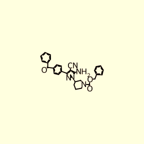 N#Cc1c(-c2ccc(C(=O)c3ccccc3)cc2)nn(C2CCCN(C(=O)OCc3ccccc3)C2)c1N